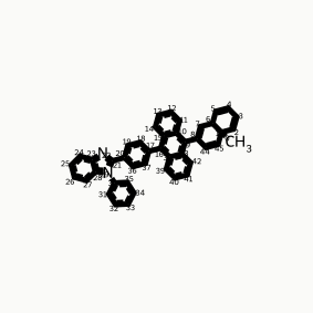 CC12C=CC=CC1C=C(c1c3ccccc3c(-c3ccc(-c4nc5ccccc5n4-c4ccccc4)cc3)c3ccccc13)C=C2